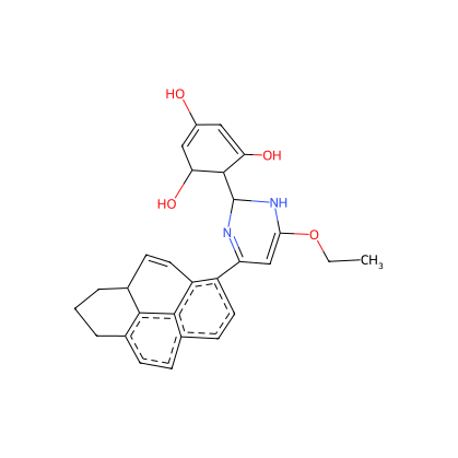 CCOC1=CC(c2ccc3ccc4c5c3c2C=CC5CCC4)=NC(C2C(O)=CC(O)=CC2O)N1